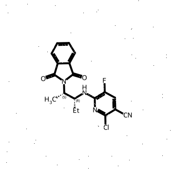 CC[C@@H](Nc1nc(Cl)c(C#N)cc1F)[C@H](C)N1C(=O)c2ccccc2C1=O